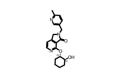 Cc1ccc(CN2Cc3ccnc(O[C@H]4CCCC[C@@H]4O)c3C2=O)cn1